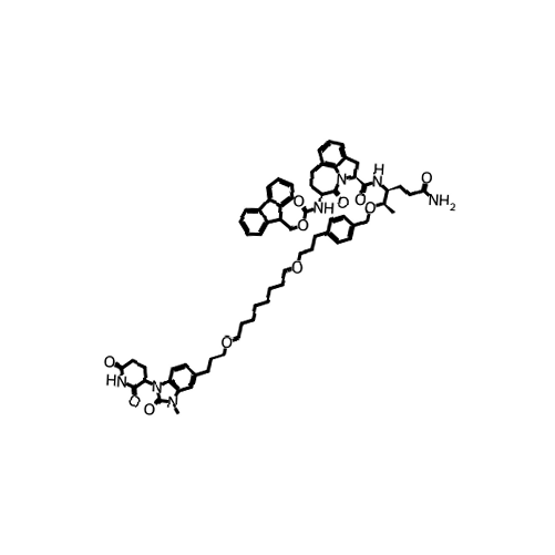 C[C@@H](OCc1ccc(CCCOCCCCCCCCOCCCc2ccc3c(c2)n(C)c(=O)n3C2CCC(=O)NC2=O)cc1)[C@H](CCC(N)=O)NC(=O)[C@@H]1Cc2cccc3c2N1C(=O)[C@@H](NC(=O)OCC1c2ccccc2-c2ccccc21)CC3